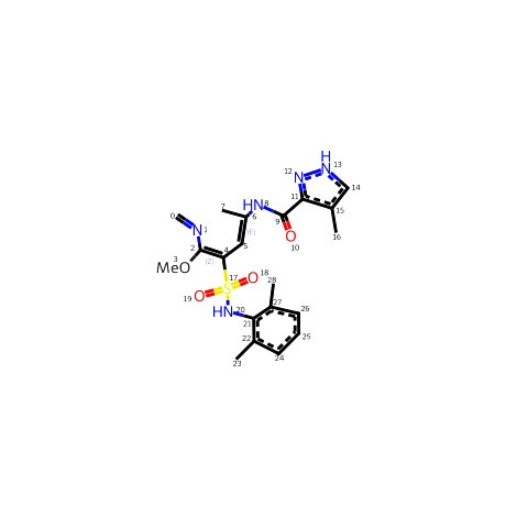 C=N/C(OC)=C(\C=C(/C)NC(=O)c1n[nH]cc1C)S(=O)(=O)Nc1c(C)cccc1C